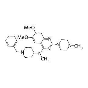 COc1cc2nc(N3CCN(C)CC3)nc(N(C)C3CCN(Cc4ccccc4)CC3)c2cc1OC